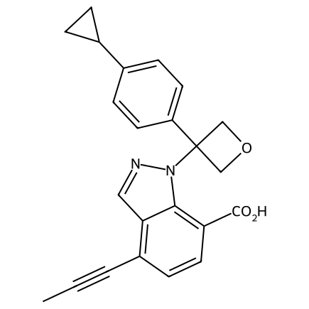 CC#Cc1ccc(C(=O)O)c2c1cnn2C1(c2ccc(C3CC3)cc2)COC1